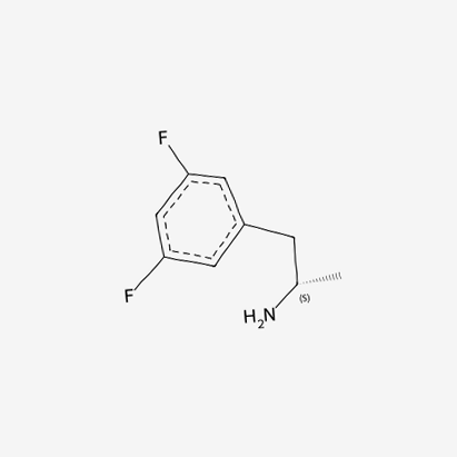 C[C@H](N)Cc1cc(F)cc(F)c1